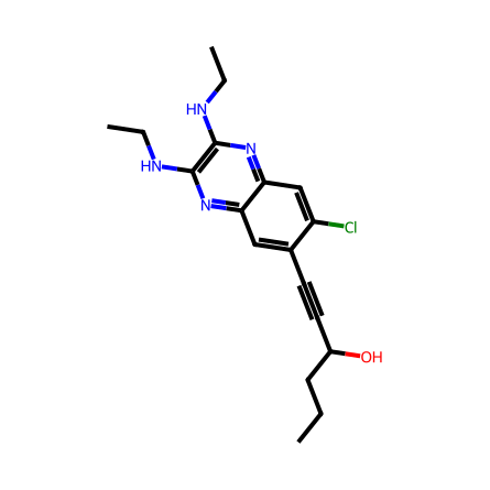 CCCC(O)C#Cc1cc2nc(NCC)c(NCC)nc2cc1Cl